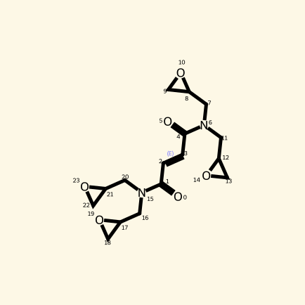 O=C(/C=C/C(=O)N(CC1CO1)CC1CO1)N(CC1CO1)CC1CO1